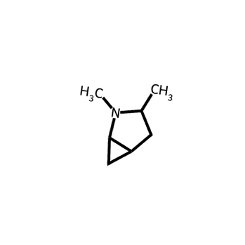 CC1CC2CC2N1C